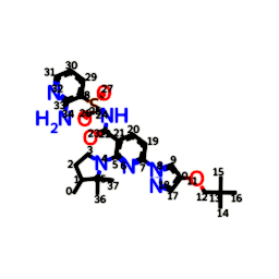 CC1CCN(c2nc(-n3cc(OCC(C)(C)C)cn3)ccc2C(=O)NS(=O)(=O)c2cccnc2N)C1(C)C